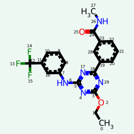 CCOc1nc(Nc2cccc(C(F)(F)F)c2)nc(-c2cccc(C(=O)NC)c2)n1